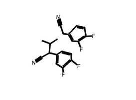 CC(C)C(C#N)c1ccc(F)c(F)c1.N#CCc1ccc(F)c(F)c1